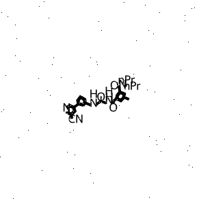 CCCN(CCC)C(=O)c1cc(C)cc(C(=O)NC[C@H](O)CNCc2cccc(-c3cncc(C#N)c3)c2)c1